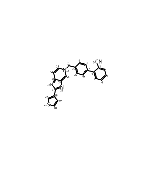 N#Cc1ccccc1-c1ccc(Cn2ccc3nc(-c4ccsc4)nc-3c2)cc1